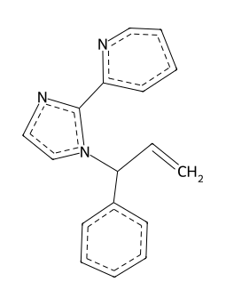 C=CC(c1ccccc1)n1ccnc1-c1ccccn1